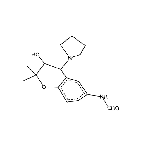 CC1(C)Oc2ccc(NC=O)cc2C(N2CCCC2)C1O